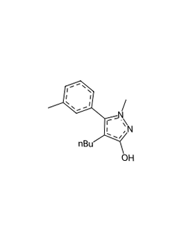 CCCCc1c(O)nn(C)c1-c1cccc(C)c1